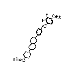 CCCCOC1CCC(C2CCC3CC(c4ccc(COc5ccc(OCC)c(F)c5F)cc4)CCC3C2)CC1